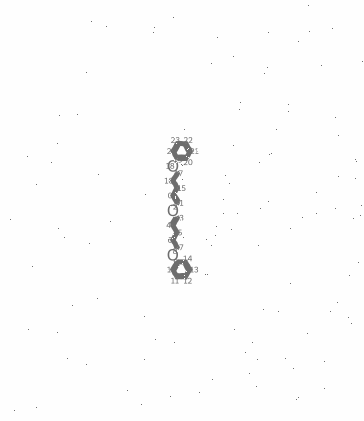 C(=COC=CCCCOc1ccccc1)CCCOc1ccccc1